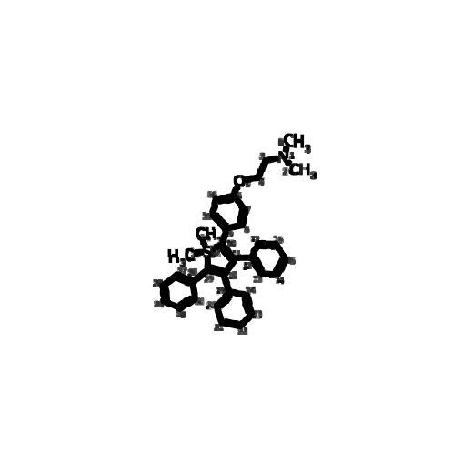 CN(C)CCOc1ccc(C2=C(c3ccccc3)C(c3ccccc3)=C(c3ccccc3)[Si]2(C)C)cc1